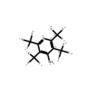 Nc1c(C(F)(F)F)c(C(F)(F)F)nc(C(F)(F)F)c1C(F)(F)F